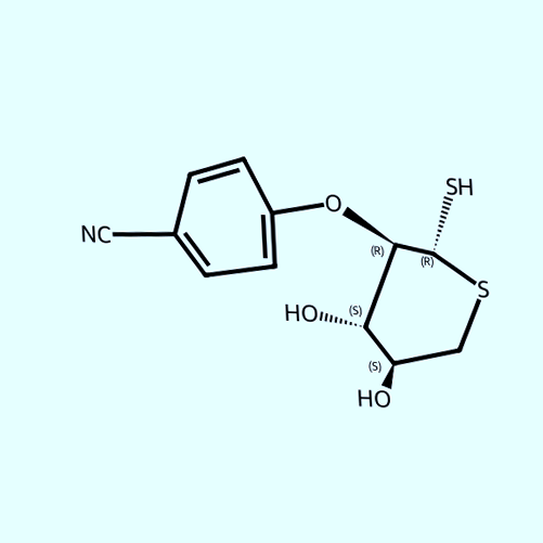 N#Cc1ccc(O[C@@H]2[C@@H](O)[C@H](O)CS[C@H]2S)cc1